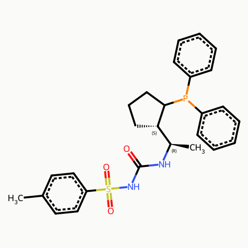 Cc1ccc(S(=O)(=O)NC(=O)N[C@H](C)[C@@H]2CCCC2P(c2ccccc2)c2ccccc2)cc1